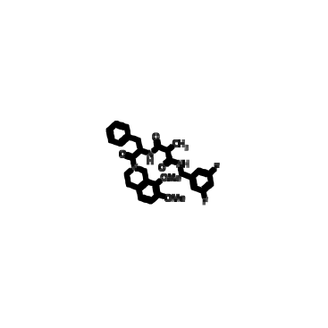 COc1ccc2c(c1OC)CN(C(=O)C(Cc1ccccc1)NC(=O)C(C)C(=O)NCc1cc(F)cc(F)c1)CC2